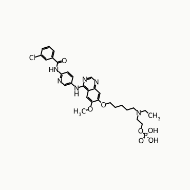 CCN(CCCCCOc1cc2ncnc(Nc3ccc(NC(=O)c4cccc(Cl)c4)nc3)c2cc1OC)CCOP(=O)(O)O